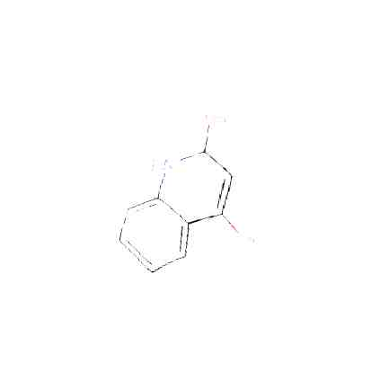 OC1=CC(O)Nc2ccccc21